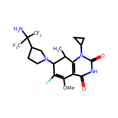 COC1=C(F)C(N2CCC(C(N)(C(F)(F)F)C(F)(F)F)C2)C(C)c2c1c(=O)[nH]c(=O)n2C1CC1